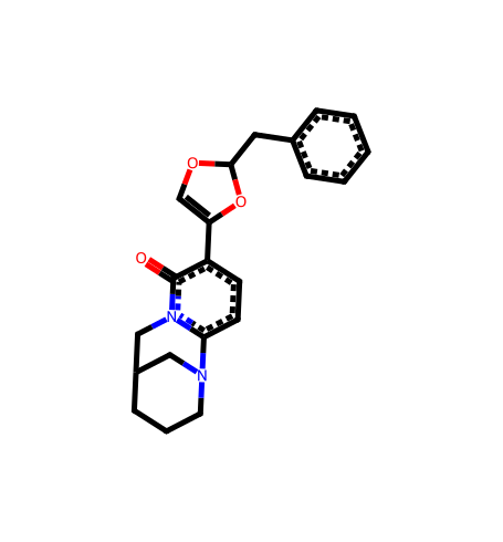 O=c1c(C2=COC(Cc3ccccc3)O2)ccc2n1CC1CCCN2C1